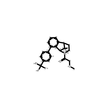 COCC(=O)N1CCC2c3cccc(-c4ccc(C(F)(F)F)cc4)c3C1[C@H]2C